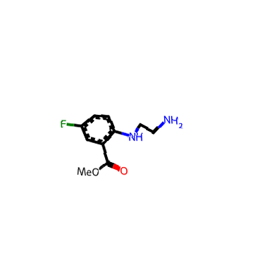 COC(=O)c1cc(F)ccc1NCCN